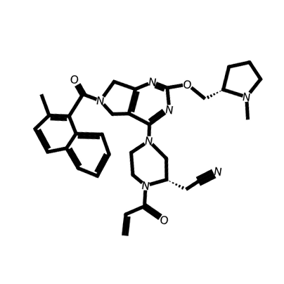 C=CC(=O)N1CCN(c2nc(OC[C@@H]3CCCN3C)nc3c2CN(C(=O)c2c(C)ccc4ccccc24)C3)C[C@@H]1CC#N